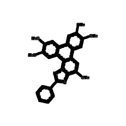 COc1cc2c3cc(OC)c(OC)cc3c3c(cc(OC)c4oc(-c5ccccc5)nc43)c2cc1OC